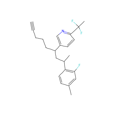 C#CCCCC(CC(C)c1ccc(C)cc1F)c1ccc(C(C)(F)F)nc1